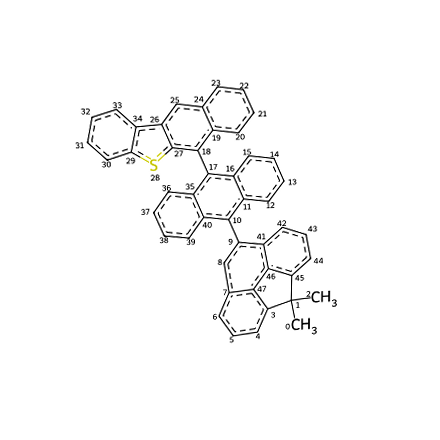 CC1(C)c2cccc3cc(-c4c5ccccc5c(-c5c6ccccc6cc6c5sc5ccccc56)c5ccccc45)c4cccc1c4c23